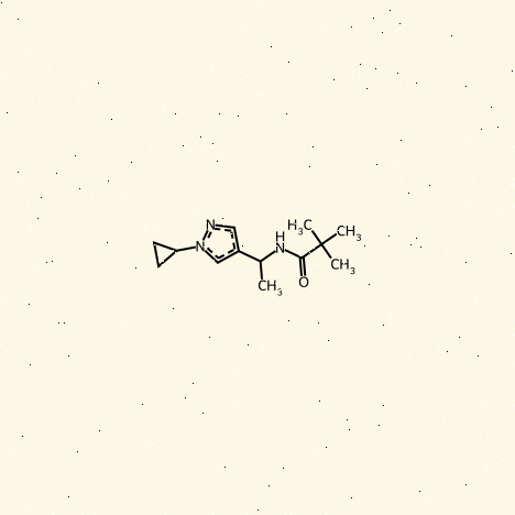 CC(NC(=O)C(C)(C)C)c1cnn(C2CC2)c1